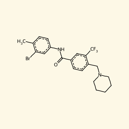 Cc1ccc(NC(=O)c2ccc(CN3CCCCC3)c(C(F)(F)F)c2)cc1Br